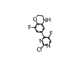 Fc1cnc(Cl)nc1-c1cc(F)c2c(c1)NCCO2